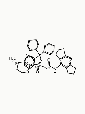 C[C@H]1CCOc2c([S@@](=O)(=NC(c3ccccc3)(c3ccccc3)c3ccccc3)NC(=O)Nc3c4c(cc5c3CCC5)CCC4)cnn21